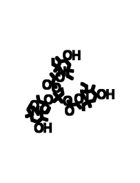 CCC(COC(=O)C(C)ON1C(C)(CC)CC(O)C(C)C1(C)CC)(COC(=O)C(C)ON1C(C)(CC)CC(O)C(C)C1(C)CC)COC(=O)C(C)ON1C(C)(CC)CC(O)C(C)C1(C)CC